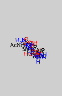 CSCC[C@H](NC(C)=O)C(=O)N[C@@H](CCC(N)=O)C(=O)N[C@@H](CO)C(=O)N1CCC[C@H]1C(=O)N[C@@H](Cc1ccccc1)C(=O)N[C@H](C(=O)N1CCC[C@H]1C(=O)N[C@@H](Cc1cnc[nH]1)C(=O)N[C@@H](Cc1ccccc1)C(=O)N[C@@H](C)C(C)=O)C(C)O